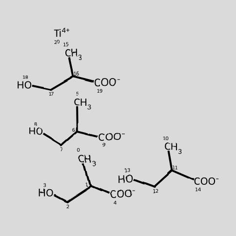 CC(CO)C(=O)[O-].CC(CO)C(=O)[O-].CC(CO)C(=O)[O-].CC(CO)C(=O)[O-].[Ti+4]